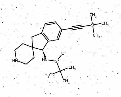 CC(C)(C)[S+]([O-])N[C@@H]1c2cc(C#C[Si](C)(C)C)ccc2CC12CCNCC2